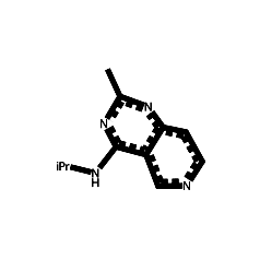 Cc1nc(NC(C)C)c2cnccc2n1